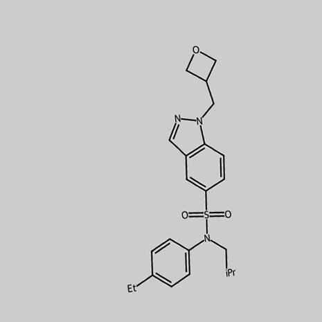 CCc1ccc(N(CC(C)C)S(=O)(=O)c2ccc3c(cnn3CC3COC3)c2)cc1